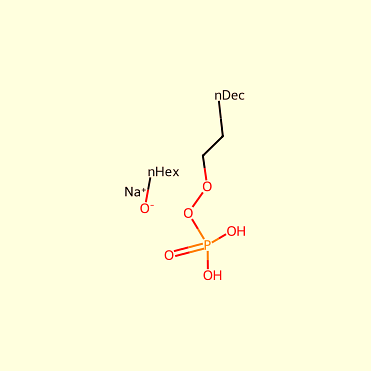 CCCCCCCCCCCCOOP(=O)(O)O.CCCCCC[O-].[Na+]